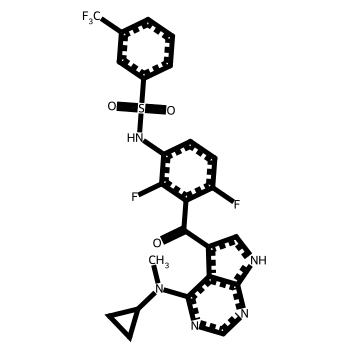 CN(c1ncnc2[nH]cc(C(=O)c3c(F)ccc(NS(=O)(=O)c4cccc(C(F)(F)F)c4)c3F)c12)C1CC1